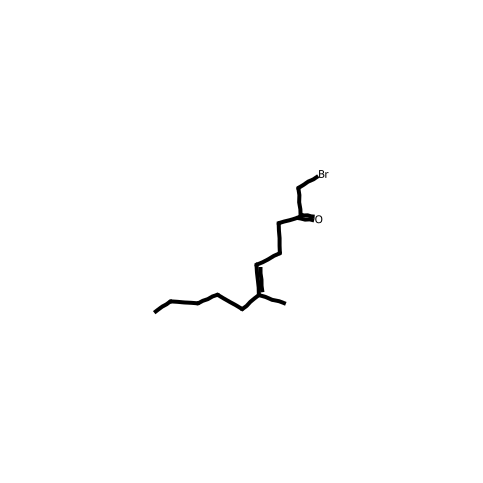 CCCCCC(C)=CCCC(=O)CBr